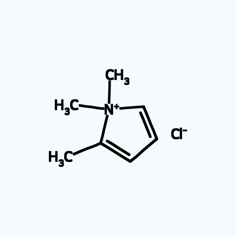 CC1=CC=C[N+]1(C)C.[Cl-]